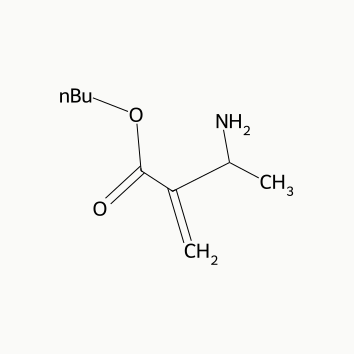 C=C(C(=O)OCCCC)C(C)N